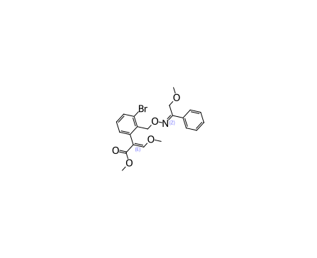 CO/C=C(/C(=O)OC)c1cccc(Br)c1CO/N=C(\COC)c1ccccc1